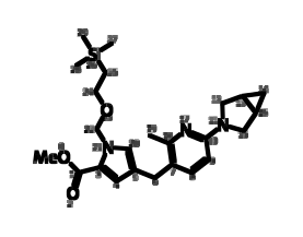 COC(=O)c1cc(Cc2ccc(N3CC4CC4C3)nc2C)cn1COCC[Si](C)(C)C